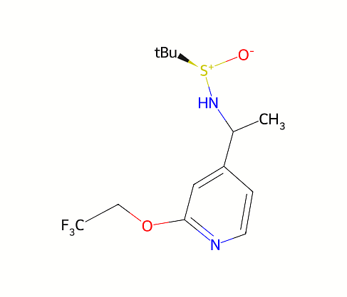 CC(N[S@+]([O-])C(C)(C)C)c1ccnc(OCC(F)(F)F)c1